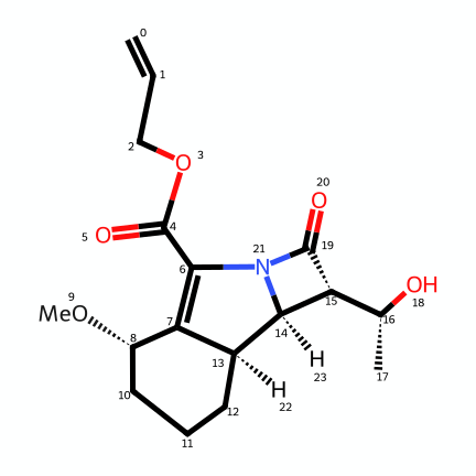 C=CCOC(=O)C1=C2[C@@H](OC)CCC[C@@H]2[C@@H]2[C@@H]([C@@H](C)O)C(=O)N12